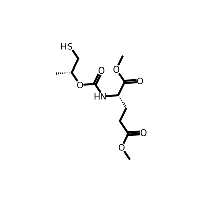 COC(=O)CC[C@H](NC(=O)O[C@H](C)CS)C(=O)OC